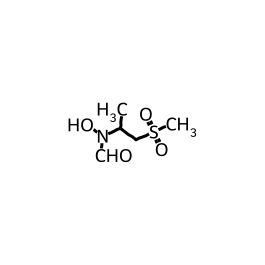 CC(CS(C)(=O)=O)N(O)C=O